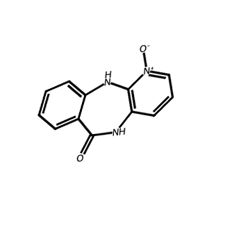 O=C1Nc2ccc[n+]([O-])c2Nc2ccccc21